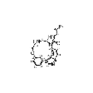 O=C(NCCF)N1CCNCCOc2cccc(c2)-c2cnn3ccc1nc23